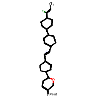 CCCCCC1CCC(C2CCC(/C=C/C3CCC(C4CCC(/C(F)=C/C(F)(F)F)CC4)CC3)CC2)OC1